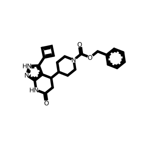 O=C1CC(C2CCN(C(=O)OCc3ccccc3)CC2)c2c(n[nH]c2C2=CC=C2)N1